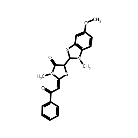 COc1ccc2c(c1)SC(C1S/C(=C/C(=O)c3ccccc3)N(C)C1=O)N2C